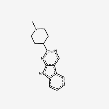 CN1CCC(c2ncc3c(n2)[nH]c2ccccc23)CC1